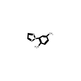 Cc1ccc(N)c(-n2nccn2)c1